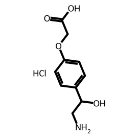 Cl.NCC(O)c1ccc(OCC(=O)O)cc1